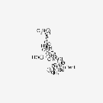 CCCCCOCN(C(=O)[C@@H](NC(=O)[C@H]1CCCCN1C)[C@@H](C)CC)[C@H](C[C@@H](O)c1nc(C(=O)N[C@@H](Cc2ccc(O)cc2)C[C@H](C)C(=O)NNC(=O)OCCSSc2ncccc2[N+](=O)[O-])cs1)C(C)C